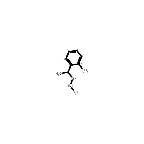 CNOC(C)c1ccccc1C